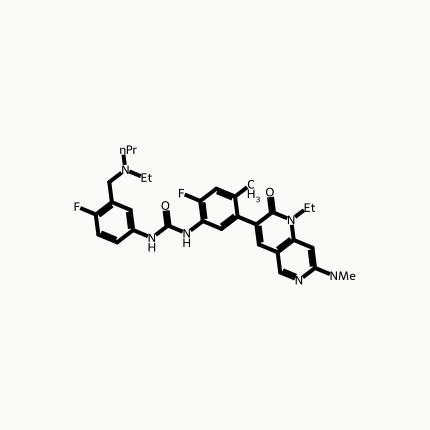 CCCN(CC)Cc1cc(NC(=O)Nc2cc(-c3cc4cnc(NC)cc4n(CC)c3=O)c(C)cc2F)ccc1F